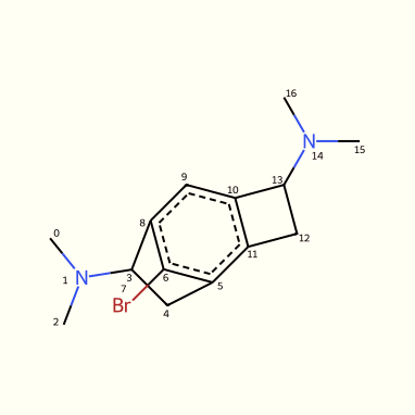 CN(C)C1Cc2c(Br)c1cc1c2CC1N(C)C